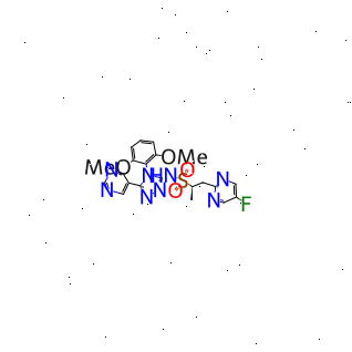 COc1cccc(OC)c1-n1c(NS(=O)(=O)[C@H](C)Cc2ncc(F)cn2)nnc1-c1cncnc1